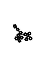 c1ccc(-c2ccc(-c3ccc(N(c4ccc5c(c4)c(-c4ccccc4)c(-c4ccccc4)c4ccccc45)c4cccc5c4-c4ccccc4C5(c4ccccc4)c4ccccc4)cc3)cc2)cc1